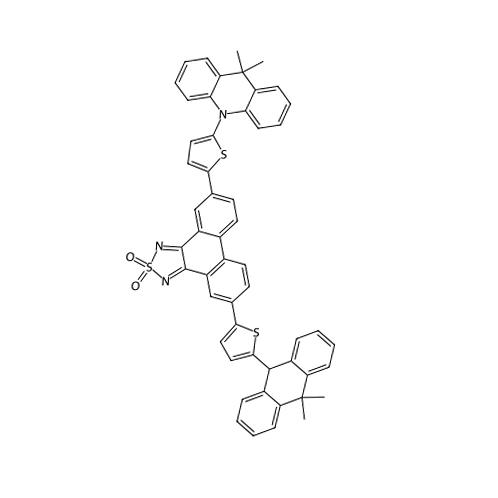 CC1(C)c2ccccc2C(c2ccc(-c3ccc4c(c3)c3c(c5cc(-c6ccc(N7c8ccccc8C(C)(C)c8ccccc87)s6)ccc54)=NS(=O)(=O)N=3)s2)c2ccccc21